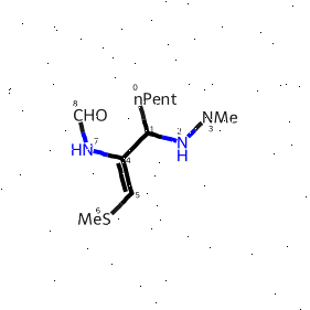 CCCCCC(NNC)/C(=C/SC)NC=O